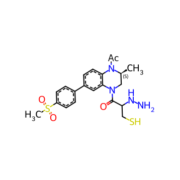 CC(=O)N1c2ccc(-c3ccc(S(C)(=O)=O)cc3)cc2N(C(=O)C(CS)NN)C[C@@H]1C